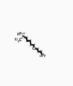 CCCN(C)CCCCCOCCCC(C)C